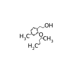 C=CC[C@H](C)Oc1cc(C)ccc1CCO